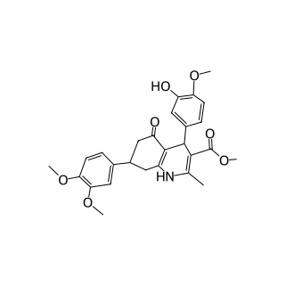 COC(=O)C1=C(C)NC2=C(C(=O)CC(c3ccc(OC)c(OC)c3)C2)C1c1ccc(OC)c(O)c1